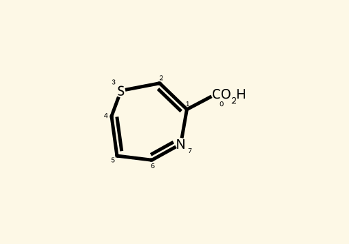 O=C(O)C1=CSC=CC=N1